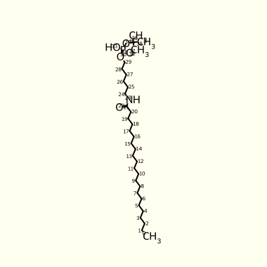 CCCCCCCCCCCCCCCCCCCCCC(=O)NCCCCCCOP(=O)(O)OC(C)(C)C